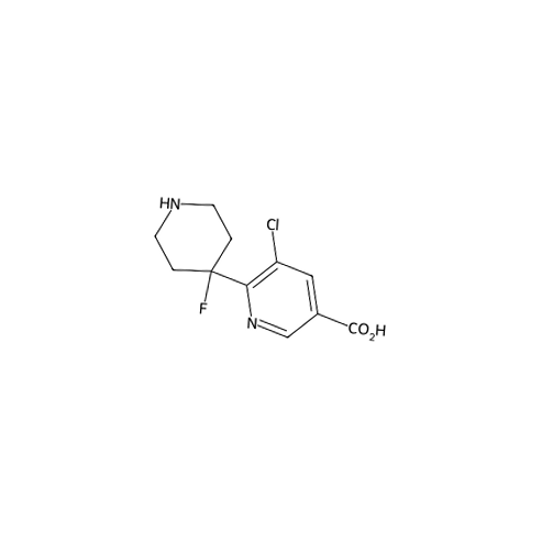 O=C(O)c1cnc(C2(F)CCNCC2)c(Cl)c1